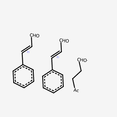 CC(=O)CC[C]=O.O=C/C=C/c1ccccc1.O=C/C=C/c1ccccc1